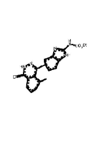 CCOC(=O)Nc1nc2cc(-c3n[nH]c(=O)c4cccc(C)c34)ccc2[nH]1